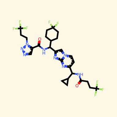 O=C(CCC(F)(F)F)NC(c1ccn2cc(C(NC(=O)c3cnnn3CCC(F)(F)F)C3CCC(F)(F)CC3)nc2n1)C1CC1